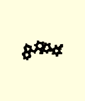 O=C1N(Cc2cccc3c2OCCO3)CCCC12CCN(c1cncc(Cl)n1)CC2